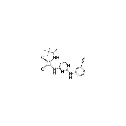 C#Cc1cccc(Nc2nccc(Nc3c(N[C@H](C)C(C)(C)C)c(=O)c3=O)n2)c1